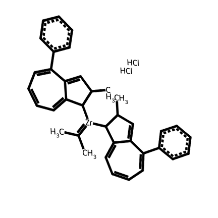 C[C](C)=[Zr]([CH]1C2=CC=CC=C(c3ccccc3)C2=CC1C)[CH]1C2=CC=CC=C(c3ccccc3)C2=CC1C.Cl.Cl